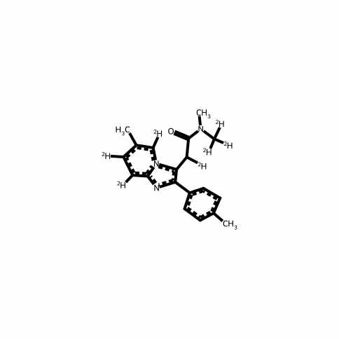 [2H]c1c(C)c([2H])n2c(C([2H])C(=O)N(C)C([2H])([2H])[2H])c(-c3ccc(C)cc3)nc2c1[2H]